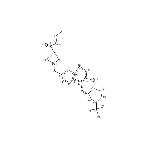 CCOC(=O)C1CN(Cc2ccc3c(Cl)c(O[C@H]4CC[C@H](C(C)(C)C)CC4)ccc3c2)C1